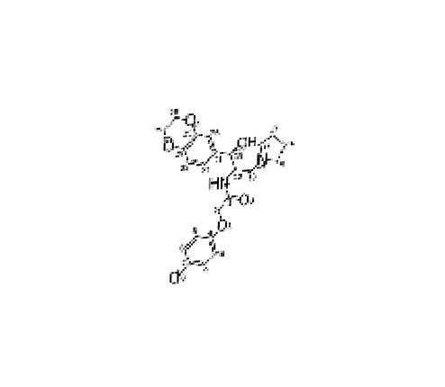 O=C(COc1ccc(Cl)cc1)N[C@H](CN1CCCC1)[C@H](O)c1ccc2c(c1)OCCO2